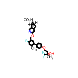 CC(O)(CCOc1ccc(-c2cc(COc3cc4c(cn3)[C@H]3[C@@H](C4)[C@@H]3C(=O)O)c(F)cc2C(F)(F)F)cc1)C(F)F